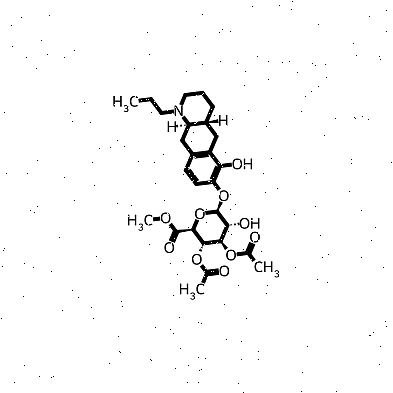 CCCN1CCC[C@@H]2Cc3c(ccc(O[C@@H]4O[C@H](C(=O)OC)[C@@H](OC(C)=O)[C@H](OC(C)=O)[C@H]4O)c3O)C[C@H]21